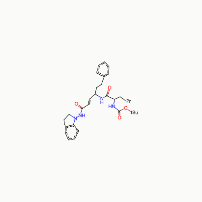 CC(C)CC(NC(=O)OC(C)(C)C)C(=O)NC(C=CC(=O)NN1CCc2ccccc21)CCc1ccccc1